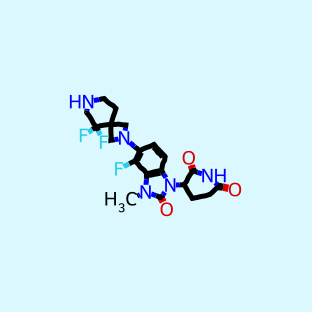 Cn1c(=O)n(C2CCC(=O)NC2=O)c2ccc(N3CC4(CCNCC4(F)F)C3)c(F)c21